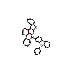 c1ccc(-c2ccccc2N(c2ccc3c(c2)sc2ccccc23)c2ccc3c4ccccc4n(-c4ccccc4)c3c2)cc1